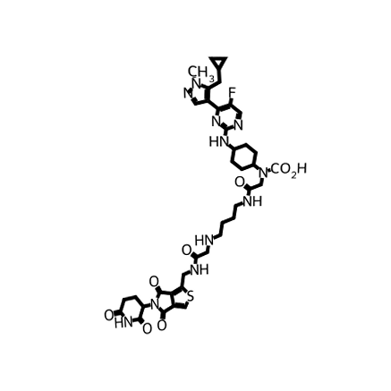 Cn1ncc(-c2nc(NC3CCC(N(CC(=O)NCCCCNCC(=O)NCc4scc5c4C(=O)N(C4CCC(=O)NC4=O)C5=O)C(=O)O)CC3)ncc2F)c1CC1CC1